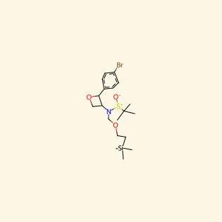 CC(C)(C)[S+]([O-])N(COCC[Si](C)(C)C)C1COC1c1ccc(Br)cc1